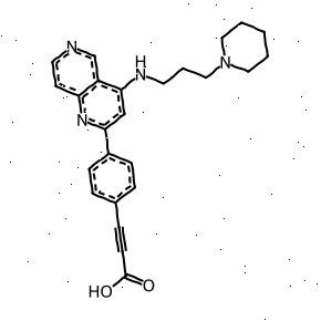 O=C(O)C#Cc1ccc(-c2cc(NCCCN3CCCCC3)c3cnccc3n2)cc1